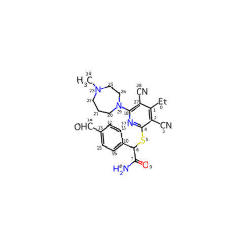 CCc1c(C#N)c(SC(C(N)=O)c2ccc(C=O)cc2)nc(N2CCCN(C)CC2)c1C#N